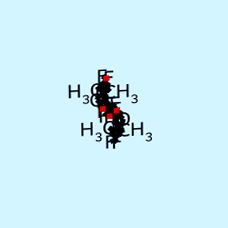 Cc1cc(C(F)F)cc(C)c1N1COc2ccc(C(c3ccc4c(c3)CN(c3c(C)cc(C(F)F)cc3C)CO4)(C(F)(F)F)C(F)(F)F)cc2C1